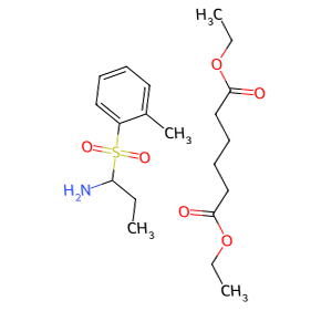 CCC(N)S(=O)(=O)c1ccccc1C.CCOC(=O)CCCCC(=O)OCC